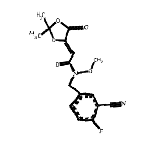 CON(Cc1ccc(F)c(C#N)c1)C(=O)C=C1OC(C)(C)OC1=O